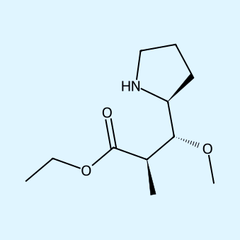 CCOC(=O)[C@H](C)[C@@H](OC)[C@@H]1CCCN1